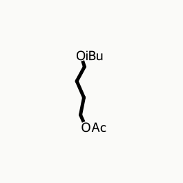 CC(=O)OCCCCOCC(C)C